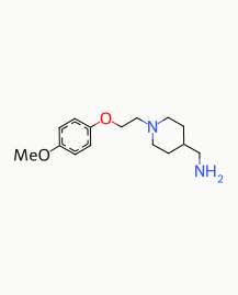 COc1ccc(OCCN2CCC(CN)CC2)cc1